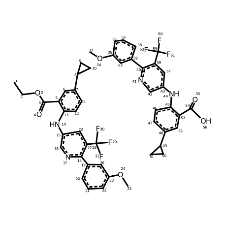 CCOC(=O)c1cc(C2CC2)ccc1Nc1cnc(-c2cccc(OC)c2)c(C(F)(F)F)c1.COc1cccc(-c2ncc(Nc3ccc(C4CC4)cc3C(=O)O)cc2C(F)(F)F)c1